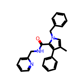 Cc1cn(Cc2ccccc2)c(C(=O)NCc2ccccn2)c1-c1ccccc1